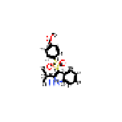 COc1ccc(S(=O)(=O)c2c(C(C)C)[nH]c3ccccc23)cc1